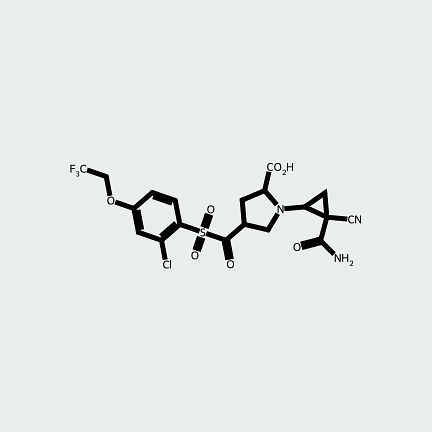 N#CC1(C(N)=O)CC1N1CC(C(=O)S(=O)(=O)c2ccc(OCC(F)(F)F)cc2Cl)CC1C(=O)O